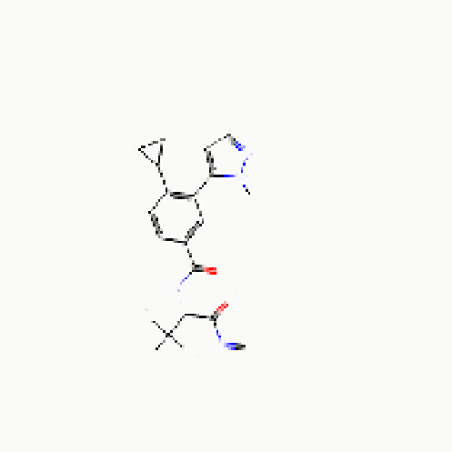 C=NC(=O)[C@@H](NC(=O)c1ccc(C2CC2)c(-c2ccnn2C)c1)C(C)(C)C